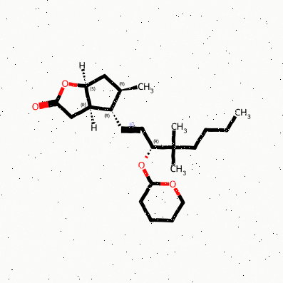 CCCCC(C)(C)[C@@H](/C=C/[C@@H]1[C@H]2CC(=O)O[C@H]2C[C@H]1C)OC1CCCCO1